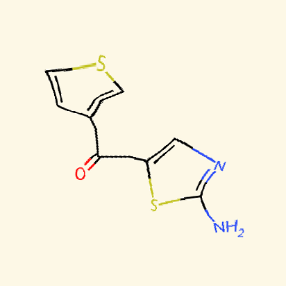 Nc1ncc(C(=O)c2ccsc2)s1